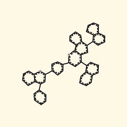 c1ccc(-c2cc(-c3ccc(-c4cc(-c5cccc6ccccc56)c5cc(-c6cccc7ccccc67)c6ccccc6c5n4)cc3)nc3ccccc23)cc1